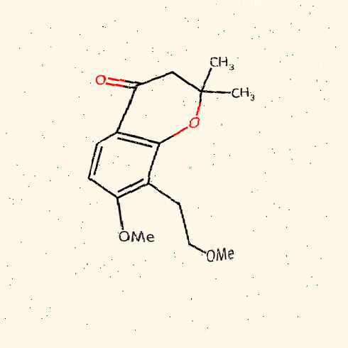 COCCc1c(OC)ccc2c1OC(C)(C)CC2=O